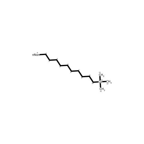 [CH2]CCCCCCCCCCCCCCCCC[CH2][Ge]([CH3])([CH3])[CH3]